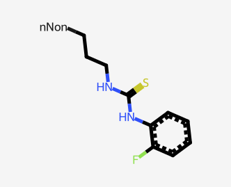 CCCCCCCCCCCCNC(=S)Nc1ccccc1F